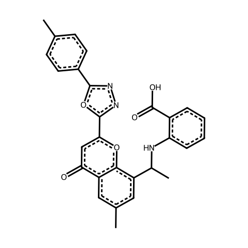 Cc1ccc(-c2nnc(-c3cc(=O)c4cc(C)cc(C(C)Nc5ccccc5C(=O)O)c4o3)o2)cc1